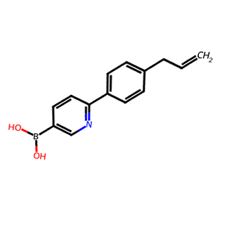 C=CCc1ccc(-c2ccc(B(O)O)cn2)cc1